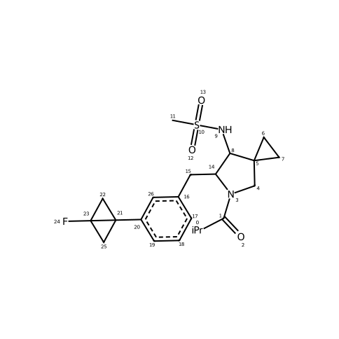 CC(C)C(=O)N1CC2(CC2)C(NS(C)(=O)=O)C1Cc1cccc(C23CC2(F)C3)c1